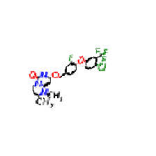 CC1CCn2c(cc(OCc3ccc(Oc4ccc(Cl)c(C(F)(F)F)c4)c(F)c3)nc2=O)N1C